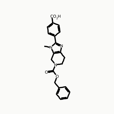 Cn1c(-c2ccc(C(=O)O)cc2)nc2c1CN(C(=O)OCc1ccccc1)CC2